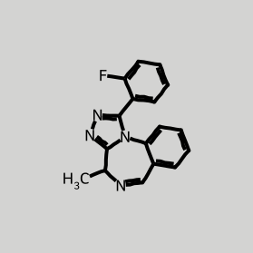 CC1N=Cc2ccccc2-n2c(-c3ccccc3F)nnc21